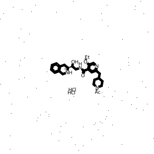 CCOc1cnc(CC2CCN(C(C)=O)CC2)cc1C(=O)NCC(O)[C@@H]1Cc2ccccc2CN1.Cl.Cl